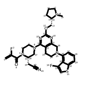 C=C(F)C(=O)N1CCN(c2nc(OC[C@@H]3CCCN3C)nc3c2CCN(c2cccc4scc(F)c24)C3)C[C@@H]1CC#N